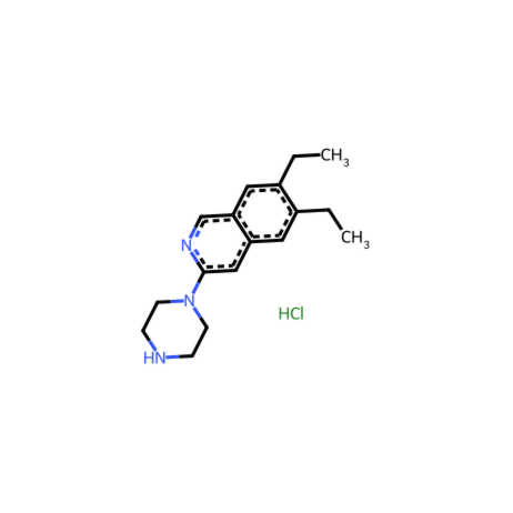 CCc1cc2cnc(N3CCNCC3)cc2cc1CC.Cl